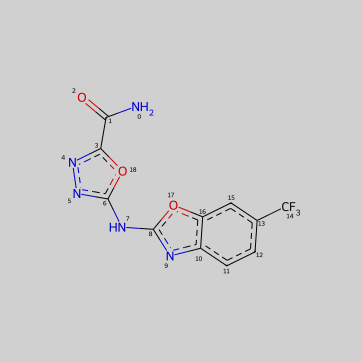 NC(=O)c1nnc(Nc2nc3ccc(C(F)(F)F)cc3o2)o1